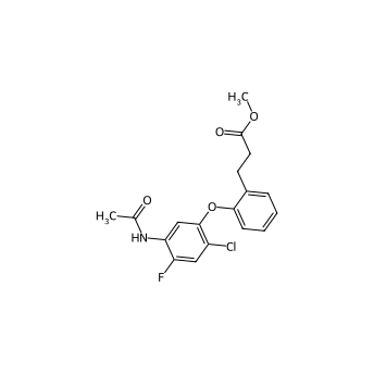 COC(=O)CCc1ccccc1Oc1cc(NC(C)=O)c(F)cc1Cl